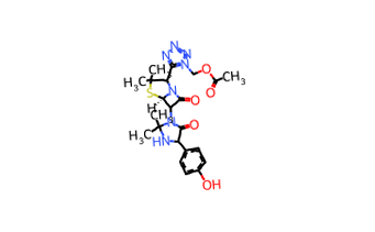 CC(=O)OCn1nnnc1C1N2C(=O)C(N3C(=O)C(c4ccc(O)cc4)NC3(C)C)[C@H]2SC1(C)C